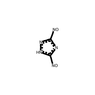 O=Nc1n[nH]c(N=O)n1